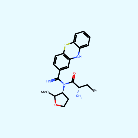 COC1OCC[C@@H]1N(C(=N)c1ccc2c(c1)Nc1ccccc1S2)C(=O)[C@@H](N)CC(C)C